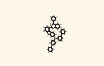 c1ccc(-c2ccc(N(c3cccc(-c4ccccc4)c3)c3ccc4c(c3)sc3cccc(-c5nc(-c6ccccc6)c6ccccc6n5)c34)cc2)cc1